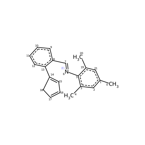 Cc1cc(C)c(/N=C/c2ccccc2C2=CC=CC2)c(C)c1